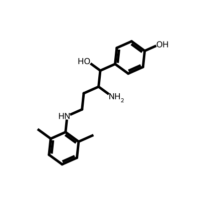 Cc1cccc(C)c1NCCC(N)C(O)c1ccc(O)cc1